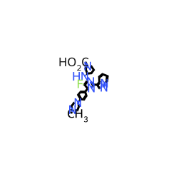 CN1CCN(c2ccc(-c3nc(-c4cnn5ccccc45)nc(N[C@@H]4CCCN(C(=O)O)C4)c3F)cc2)CC1